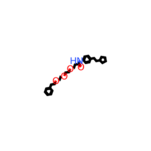 O=C(CCOCCOCCOCCc1ccccc1)Nc1ccc(CCC2CCCC2)cc1